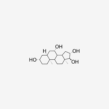 C[C@]12CCC3C(C1C[C@H](O)[C@H]2O)[C@@H](O)C[C@@H]1C[C@@H](O)CC[C@]31C